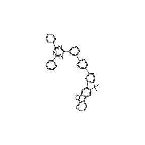 CC1(C)c2ccc(-c3ccc(-c4cccc(-c5nc(-c6ccccc6)nc(-c6ccccc6)n5)c4)cc3)cc2-c2cc3oc4ccccc4c3cc21